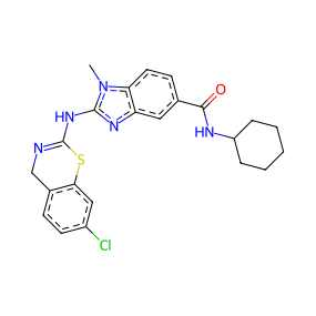 Cn1c(NC2=NCc3ccc(Cl)cc3S2)nc2cc(C(=O)NC3CCCCC3)ccc21